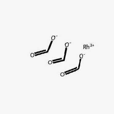 O=C[O-].O=C[O-].O=C[O-].[Rh+3]